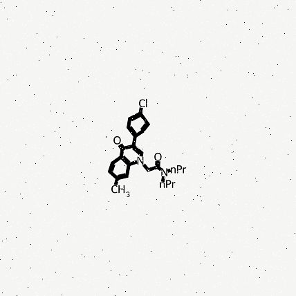 CCCN(CCC)C(=O)Cn1cc(-c2ccc(Cl)cc2)c(=O)c2ccc(C)cc21